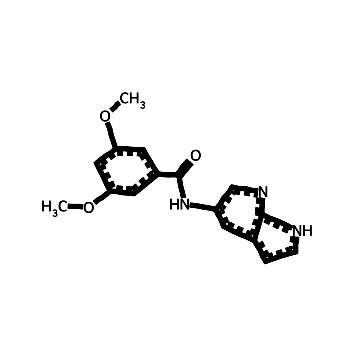 COc1cc(OC)cc(C(=O)Nc2cnc3[nH]ccc3c2)c1